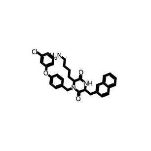 NCCCCC1C(=O)NC(Cc2ccc3ccccc3c2)C(=O)N1Cc1ccc(Oc2cccc(Cl)c2)cc1